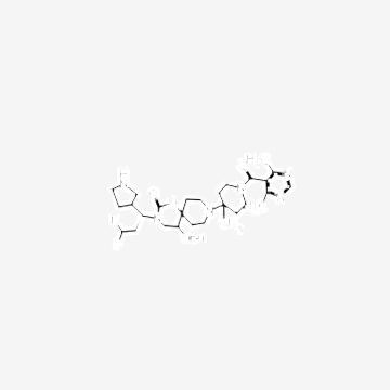 CCCCC1CN([C@@H](CC(F)F)C2CCNC2)C(=O)OC12CCN(C1(C)CCN(C(=O)c3c(C)ncnc3C)CC1)CC2